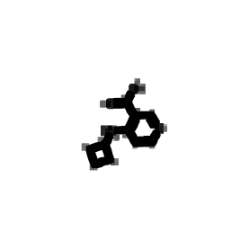 O=C(O)c1cnccc1NC1CCC1